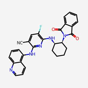 N#Cc1cc(F)c(N[C@@H]2CCCC[C@@H]2N2C(=O)c3ccccc3C2=O)nc1Nc1cccc2ncccc12